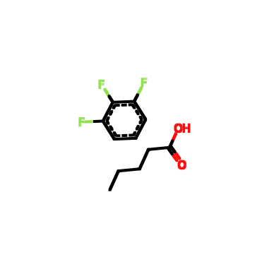 CCCCC(=O)O.Fc1cccc(F)c1F